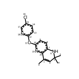 CC1=CC(C)(C)Nc2ccc(Oc3ccc(Cl)cn3)nc21